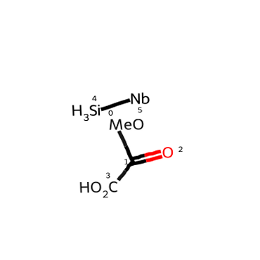 COC(=O)C(=O)O.[SiH3][Nb]